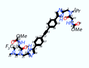 CCCN(Cc1ncc(-c2ccc(C#Cc3ccc(-c4cnc(CN(CN(C)CC(F)(F)F)C(=O)CNC(=O)OC)[nH]4)cc3)cc2)[nH]1)C(=O)CNC(=O)OC